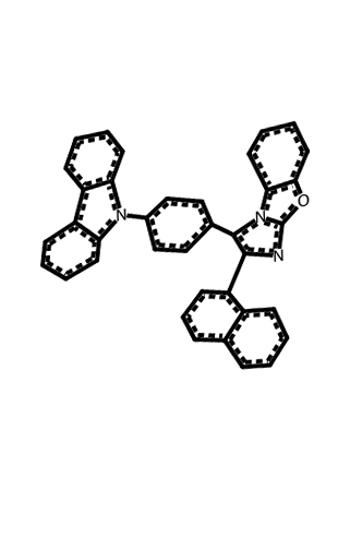 c1ccc2c(-c3nc4oc5ccccc5n4c3-c3ccc(-n4c5ccccc5c5ccccc54)cc3)cccc2c1